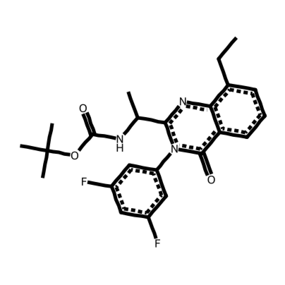 CCc1cccc2c(=O)n(-c3cc(F)cc(F)c3)c(C(C)NC(=O)OC(C)(C)C)nc12